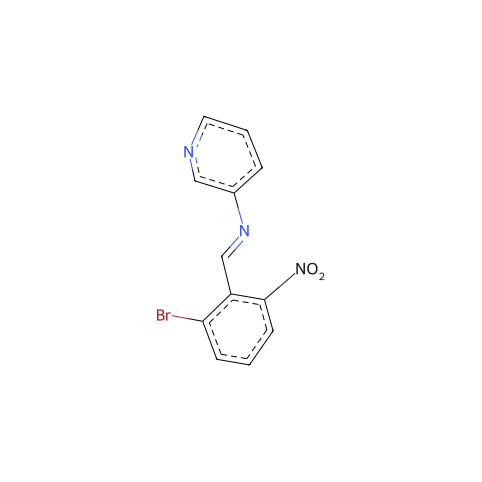 O=[N+]([O-])c1cccc(Br)c1C=Nc1cccnc1